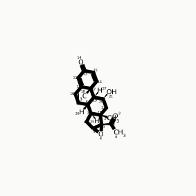 CC(=O)[C@@]12OC1C[C@H]1[C@@H]3CCC4=CC(=O)C=C[C@]4(C)[C@H]3[C@H](O)C[C@@]12C